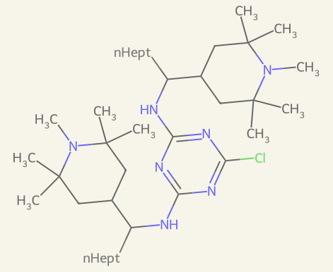 CCCCCCCC(Nc1nc(Cl)nc(NC(CCCCCCC)C2CC(C)(C)N(C)C(C)(C)C2)n1)C1CC(C)(C)N(C)C(C)(C)C1